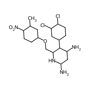 CC1CC(OCC2NC(N)CC(N)C2C2CCC(Cl)C(Cl)C2)CCC1[N+](=O)[O-]